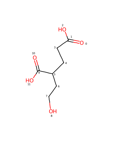 O=C(O)CCC(CCO)C(=O)O